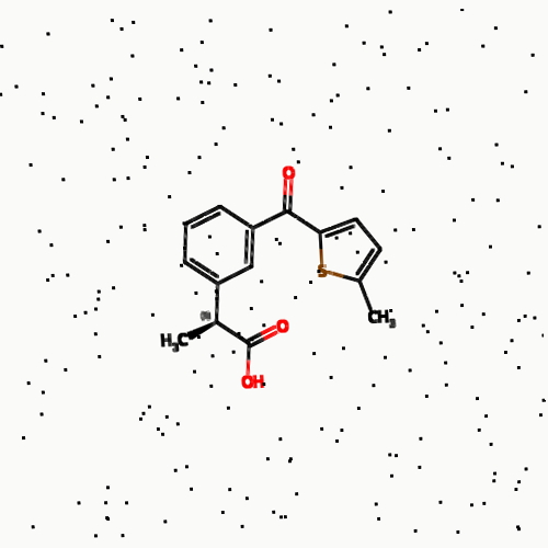 Cc1ccc(C(=O)c2cccc([C@H](C)C(=O)O)c2)s1